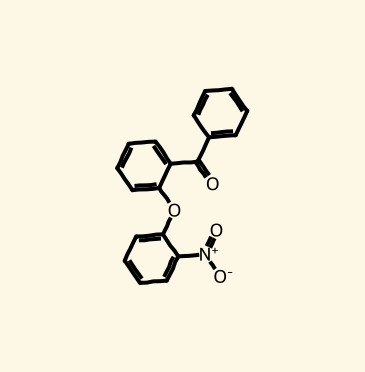 O=C(c1ccccc1)c1ccccc1Oc1ccccc1[N+](=O)[O-]